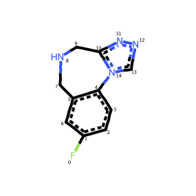 Fc1ccc2c(c1)CNCc1nncn1-2